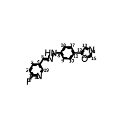 Fc1ccc(C=NNc2ccc(-c3cnco3)cc2)cn1